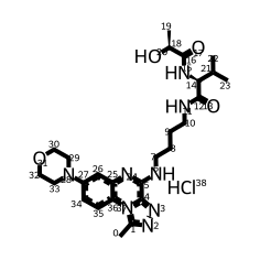 Cc1nnc2c(NCCCCNC(=O)[C@@H](NC(=O)[C@H](C)O)C(C)C)nc3cc(N4CCOCC4)ccc3n12.Cl